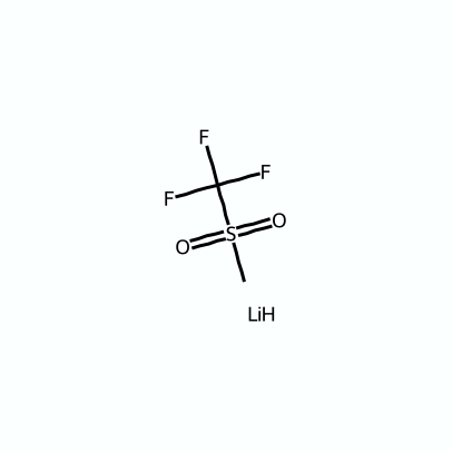 CS(=O)(=O)C(F)(F)F.[LiH]